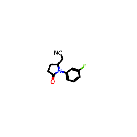 N#CCC1CCC(=O)N1c1cccc(F)c1